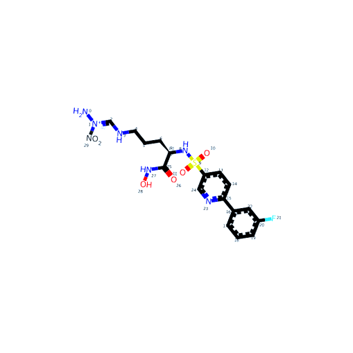 N/[N+](=C/NCCC[C@@H](NS(=O)(=O)c1ccc(-c2cccc(F)c2)nc1)C(=O)NO)[N+](=O)[O-]